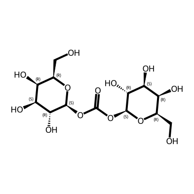 O=C(O[C@@H]1O[C@H](CO)[C@H](O)[C@H](O)[C@H]1O)O[C@@H]1O[C@H](CO)[C@H](O)[C@H](O)[C@H]1O